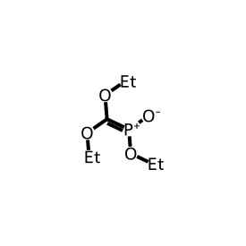 CCOC(OCC)=[P+]([O-])OCC